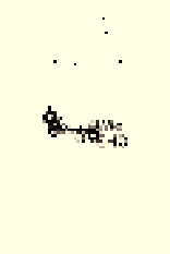 COc1cc(C=O)ccc1OC(=O)CCCCC(=O)OC1CC(C)CCC1C(C)C